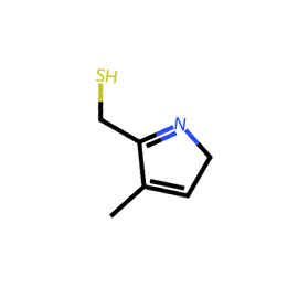 CC1=CCN=C1CS